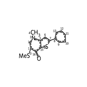 CSc1cn(C)c2cc(-c3ccccc3)sc2c1=O